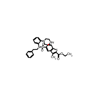 CCOC(=O)c1sc2ccc(S(=O)(=O)N(CCc3ccccc3)c3ccccc3N3CCNCC3)cc2c1C